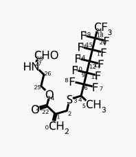 C=C(CSC(C)C(F)(F)C(F)(F)C(F)(F)C(F)(F)C(F)(F)C(F)(F)F)C(=O)OCCNC=O